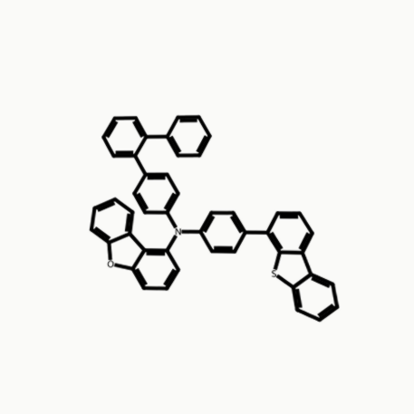 c1ccc(-c2ccccc2-c2ccc(N(c3ccc(-c4cccc5c4sc4ccccc45)cc3)c3cccc4oc5ccccc5c34)cc2)cc1